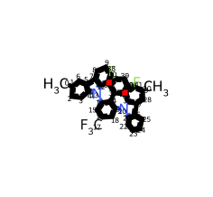 Cc1ccc2c(c1)c1ccccc1n2-c1cc(C(F)(F)F)cc(-n2c3ccccc3c3cc(C)ccc32)c1-c1cc(F)cc(F)c1